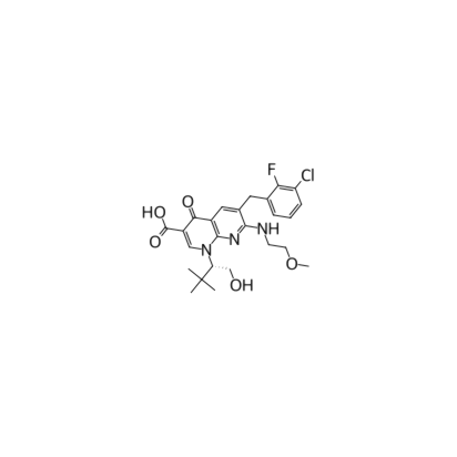 COCCNc1nc2c(cc1Cc1cccc(Cl)c1F)c(=O)c(C(=O)O)cn2[C@H](CO)C(C)(C)C